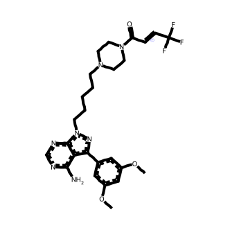 COc1cc(OC)cc(-c2nn(CCCCCN3CCN(C(=O)/C=C/C(F)(F)F)CC3)c3ncnc(N)c23)c1